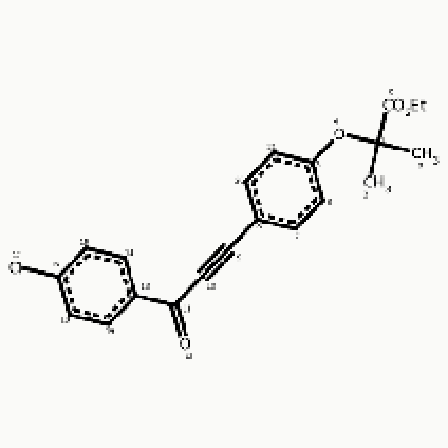 CCOC(=O)C(C)(C)Oc1ccc(C#CC(=O)c2ccc(Cl)cc2)cc1